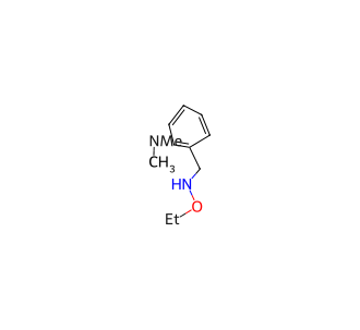 CCONCc1ccccc1.CNC